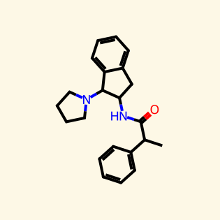 CC(C(=O)NC1Cc2ccccc2C1N1CCCC1)c1ccccc1